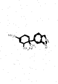 CC1(c2ccc3cn[nH]c3c2)C=CC(C(=O)O)=CC1C(=O)O